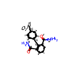 NC(=O)c1cccc(C(N)=O)c1-c1ccc([N+](=O)[O-])cc1